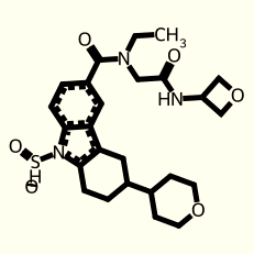 CCN(CC(=O)NC1COC1)C(=O)c1ccc2c(c1)c1c(n2[SH](=O)=O)CCC(C2CCOCC2)C1